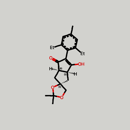 CCc1cc(C)cc(CC)c1C1=C(O)[C@H]2C[C@@]3(COC(C)(C)O3)C[C@H]2C1=O